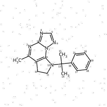 Cc1nc2ncnn2c2c1CCN2C(C)(C)c1ccccc1